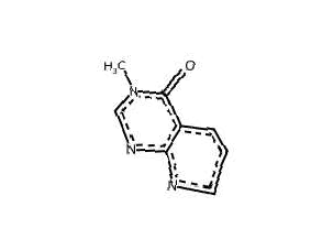 Cn1cnc2ncccc2c1=O